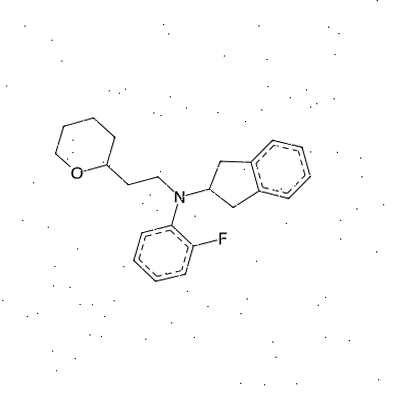 Fc1ccccc1N(CCC1CCCCO1)C1Cc2ccccc2C1